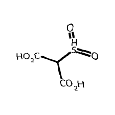 O=C(O)C(C(=O)O)[SH](=O)=O